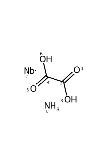 N.O=C(O)C(=O)O.[Nb]